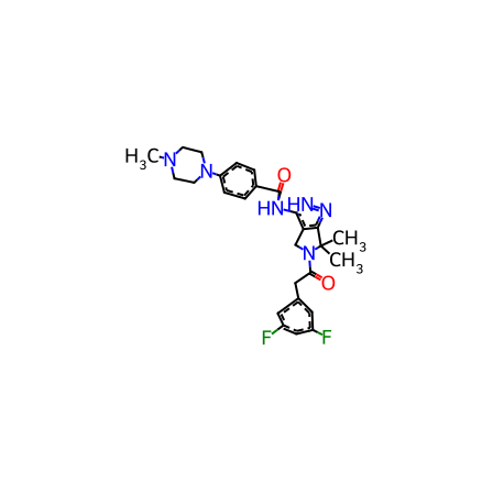 CN1CCN(c2ccc(C(=O)Nc3[nH]nc4c3CN(C(=O)Cc3cc(F)cc(F)c3)C4(C)C)cc2)CC1